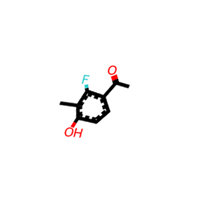 CC(=O)c1ccc(O)c(C)c1F